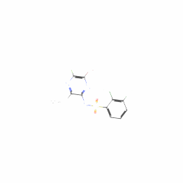 COc1nc(F)c(Br)nc1NS(=O)(=O)c1cccc(Cl)c1Cl